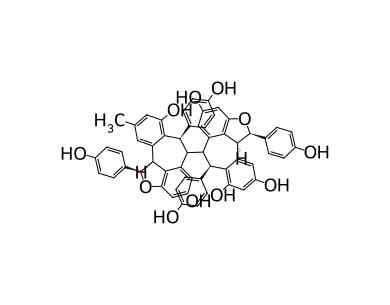 Cc1cc(O)c2c(c1)[C@H]1c3c(cc(O)cc3C(C3c4cc(O)cc5c4[C@H](c4cc(O)cc(O)c4[C@H]3c3ccc(O)cc3)[C@H](c3ccc(O)cc3)O5)[C@@H]2c2ccc(O)cc2)O[C@H]1c1ccc(O)cc1